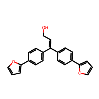 OCC=C(c1ccc(-c2ccco2)cc1)c1ccc(-c2ccco2)cc1